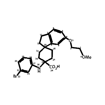 COCCOc1ccc2c(c1)C1(CC2)CCC(Nc2cccc(Br)c2)(C(=O)O)CC1